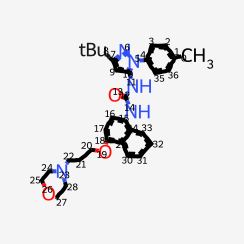 Cc1ccc(-n2nc(C(C)(C)C)cc2NC(=O)Nc2ccc(OCCCN3CCOCC3)c3ccccc23)cc1